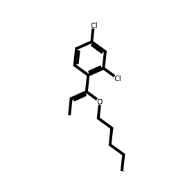 [CH2]CCCCOC(=CC)c1ccc(Cl)cc1Cl